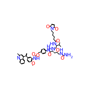 C=C(c1ccc(OC)c(NC(=O)OCc2ccc(NC(=O)[C@H](CCCNC(N)=O)NC(=O)[C@@H](NC(=O)CCCCCN3C(=O)C=CC3=O)C(C)C)cc2)c1)c1cc(C)nc2ccccc12